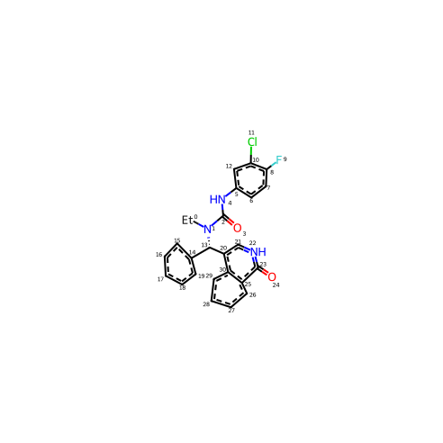 CCN(C(=O)Nc1ccc(F)c(Cl)c1)[C@@H](c1ccccc1)c1c[nH]c(=O)c2ccccc12